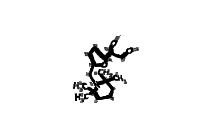 CC1(C)CCCC(C)(C)N1Cc1ccc(C(=O)C=O)o1